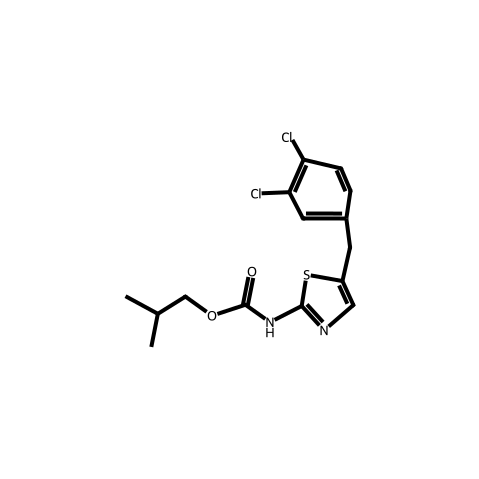 CC(C)COC(=O)Nc1ncc(Cc2ccc(Cl)c(Cl)c2)s1